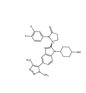 Cc1nnn(C)c1-c1ccc2c(c1)nc([C@@H]1CCC(=O)N1c1ccc(F)c(F)c1)n2C1CCC(O)CC1